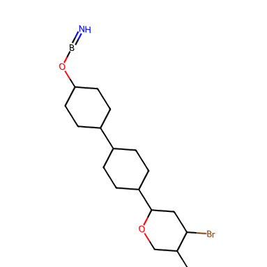 CCCC1COC(C2CCC(C3CCC(OB=N)CC3)CC2)CC1Br